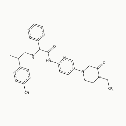 CC(CNC(C(=O)Nc1ccc(N2CCN(CC(F)(F)F)C(=O)C2)cn1)c1ccccc1)c1ccc(C#N)cc1